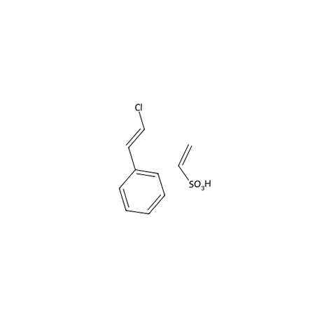 C=CS(=O)(=O)O.ClC=Cc1ccccc1